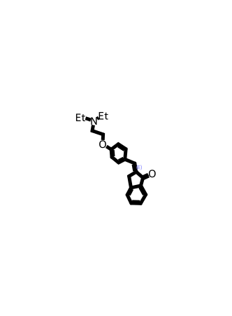 CCN(CC)CCOc1ccc(/C=C2\Cc3ccccc3C2=O)cc1